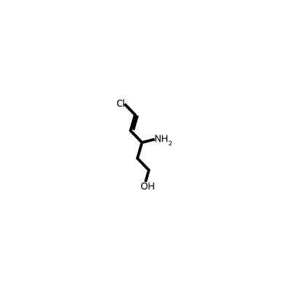 NC(C=CCl)CCO